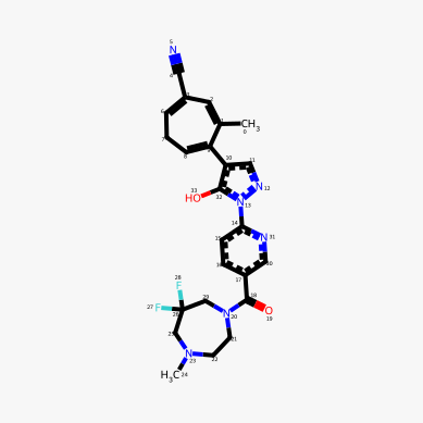 CC1=CC(C#N)=CCC=C1c1cnn(-c2ccc(C(=O)N3CCN(C)CC(F)(F)C3)cn2)c1O